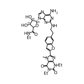 CCNC(=O)C1O[C@@H](n2cnc3c(N)nc(NCCc4ccc5cc(-c6nc7c(c(=O)n(CC)c(=O)n7CC)n6C)oc5c4)nc32)[C@H](O)[C@@H]1O